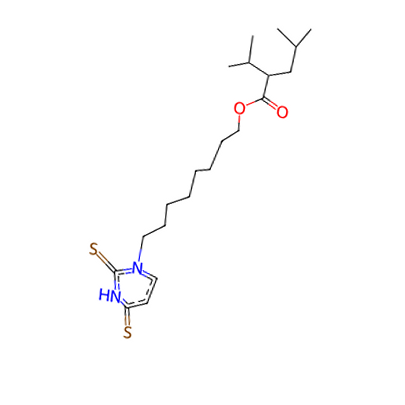 CC(C)CC(C(=O)OCCCCCCCCn1ccc(=S)[nH]c1=S)C(C)C